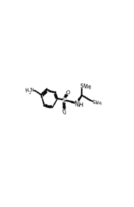 CSC(NS(=O)(=O)c1ccc(N)cc1)SC